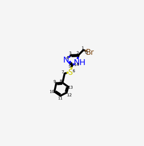 BrCc1cnc(SCc2ccccc2)[nH]1